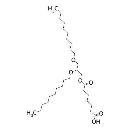 CCCCCCCCCCOCC(COC(=O)CCCCCC(=O)O)OCCCCCCCCCC